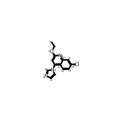 CCOc1cc(-n2ccnc2)c2ccc(Cl)cc2n1